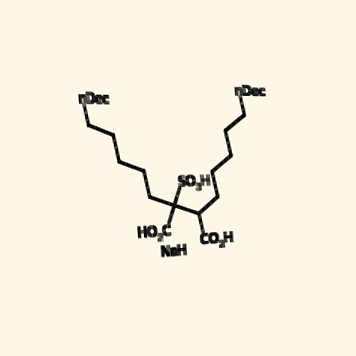 CCCCCCCCCCCCCCCC(C(=O)O)C(CCCCCCCCCCCCCCC)(C(=O)O)S(=O)(=O)O.[NaH]